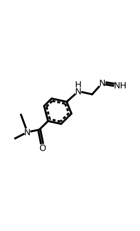 CN(C)C(=O)c1ccc(NCN=N)cc1